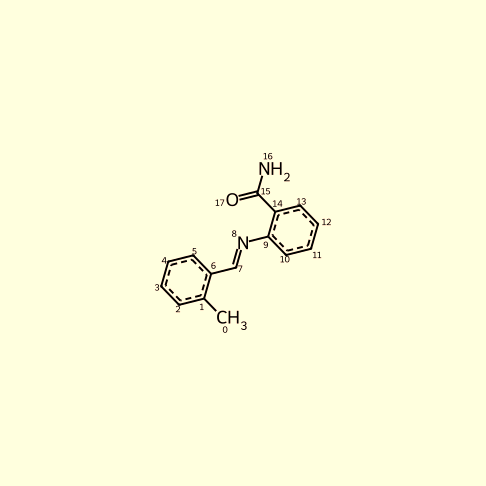 Cc1ccccc1/C=N/c1ccccc1C(N)=O